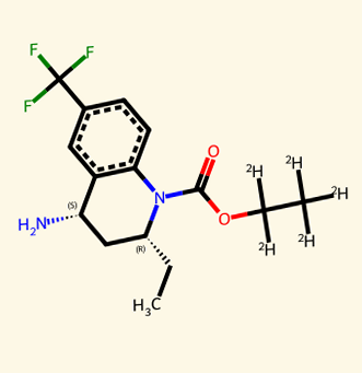 [2H]C([2H])([2H])C([2H])([2H])OC(=O)N1c2ccc(C(F)(F)F)cc2[C@@H](N)C[C@H]1CC